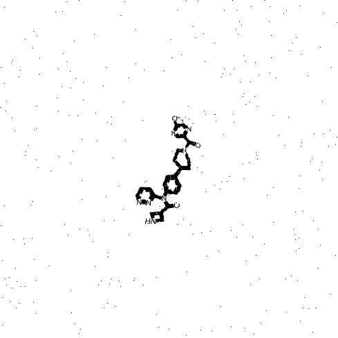 Cc1cnc(C(=O)N2CCC(c3ccc(N(C(=O)C4CNC4)c4cccnn4)cc3)CC2)cn1